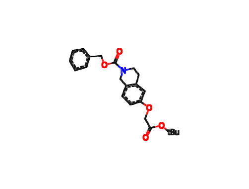 CC(C)(C)OC(=O)COc1ccc2c(c1)CCN(C(=O)OCc1ccccc1)C2